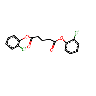 O=C(CCCC(=O)Oc1ccccc1Cl)Oc1ccccc1Cl